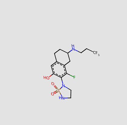 O=S1(=O)NCCN1c1c(O)cc2c(c1F)CC(NCCC(F)(F)F)CC2